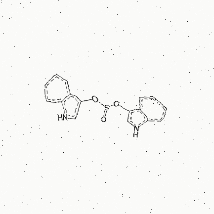 O=S(Oc1c[nH]c2ccccc12)Oc1c[nH]c2ccccc12